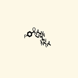 CC1c2nnc(-c3nc(N(C)C(C)C)ns3)n2CCN1C(=O)c1ccc(F)cc1